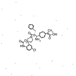 CN(C(=O)O)c1ccc(C(N)[C@@H](Cc2ccccc2)C(=O)N2CC[C@]3(C2)OC(=O)Nc2ccc(Cl)cc23)cc1